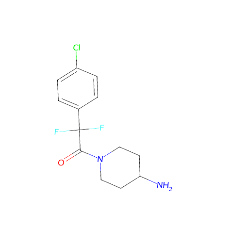 NC1CCN(C(=O)C(F)(F)c2ccc(Cl)cc2)CC1